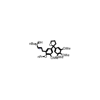 CCCCN(O)/C=C/Cc1cc(C2(c3cc(OC)c(OC)c(OC)c3)CCCO2)cc(OC)c1OCCC